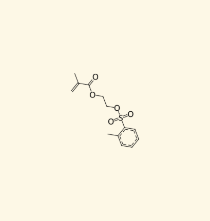 C=C(C)C(=O)OCCOS(=O)(=O)c1ccccc1C